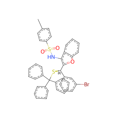 Cc1ccc(S(=O)(=O)Nc2c([C@H](SC(c3ccccc3)(c3ccccc3)c3ccccc3)c3cccc(Br)c3)oc3ccccc23)cc1